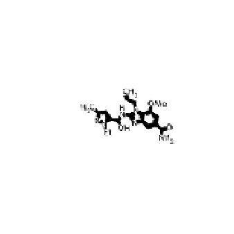 C=CCn1c(NC(O)c2cc(C)nn2CC)nc2cc(C(N)=O)cc(OC)c21